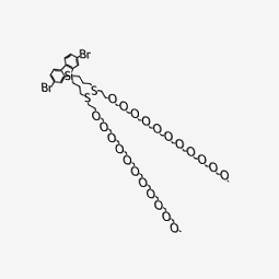 COCOCOCOCOCOCOCOCOCOCOCCSCCC[Si]1(CCCSCCOCOCOCOCOCOCOCOCOCOCOC)c2cc(Br)ccc2-c2ccc(Br)cc21